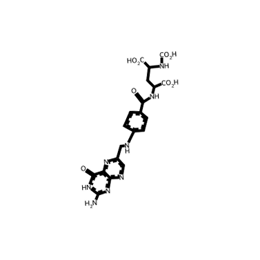 Nc1nc2ncc(CNc3ccc(C(=O)NC(CC(NC(=O)O)C(=O)O)C(=O)O)cc3)nc2c(=O)[nH]1